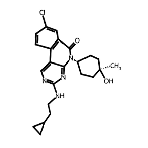 C[C@]1(O)CC[C@H](n2c(=O)c3cc(Cl)ccc3c3cnc(NCCC4CC4)nc32)CC1